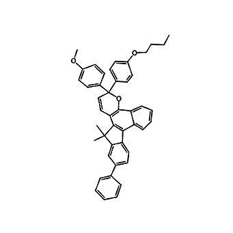 CCCCOc1ccc(C2(c3ccc(OC)cc3)C=Cc3c4c(c5ccccc5c3O2)-c2ccc(-c3ccccc3)cc2C4(C)C)cc1